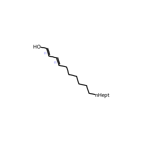 CCCCCCCCCCCCC/C=C/C=C/O